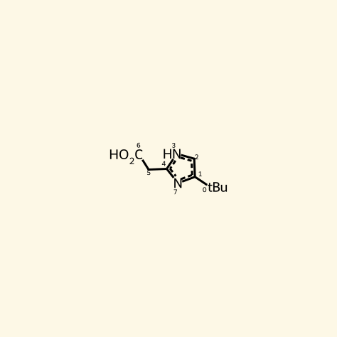 CC(C)(C)c1c[nH]c(CC(=O)O)n1